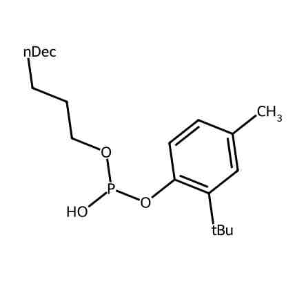 CCCCCCCCCCCCCOP(O)Oc1ccc(C)cc1C(C)(C)C